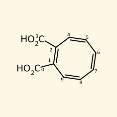 O=C(O)C1=C(C(=O)O)/C=C\C=C/C=C\1